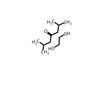 CC(C)CC(=O)CC(C)C.OCCO